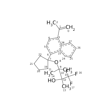 C=C(C)c1ccc(C2(OC(C)(C)C(C)(O)C(F)(F)F)CCCC2)c2ccccc12